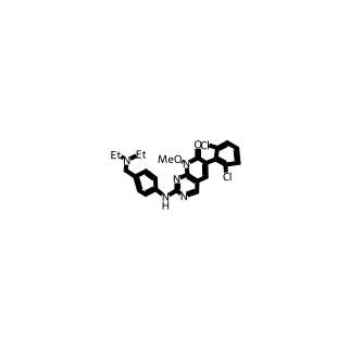 CCN(CC)Cc1ccc(Nc2ncc3cc(-c4c(Cl)cccc4Cl)c(=O)n(OC)c3n2)cc1